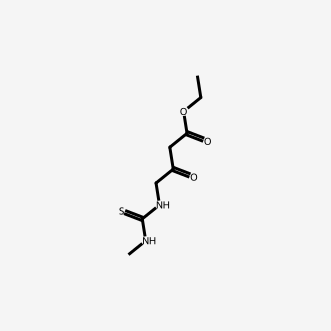 CCOC(=O)CC(=O)CNC(=S)NC